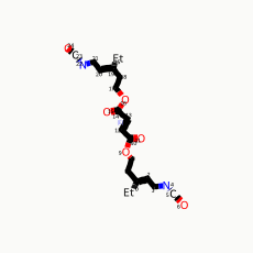 CCC(=CCN=C=O)CCOC(=O)/C=C/C(=O)OCCC(=CCN=C=O)CC